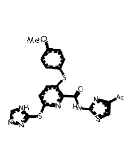 COc1ccc(Sc2ccc(Sc3nnc[nH]3)nc2C(=O)Nc2nc(C(C)=O)cs2)cc1